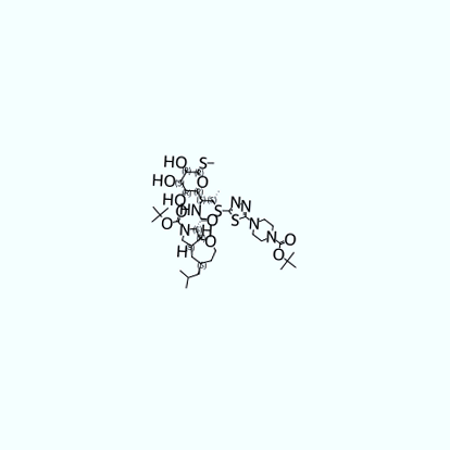 CS[C@H]1O[C@H]([C@H](NC(=O)[C@@H]2[C@@H]3OCC[C@@H](CC(C)C)C[C@H]3CN2C(=O)OC(C)(C)C)[C@H](C)Sc2nnc(N3CCN(C(=O)OC(C)(C)C)CC3)s2)[C@H](O)[C@H](O)[C@H]1O